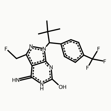 CC(C)(C)C(c1ccc(C(F)(F)F)cc1)n1nc(CF)c2c(=N)[nH]c(O)nc21